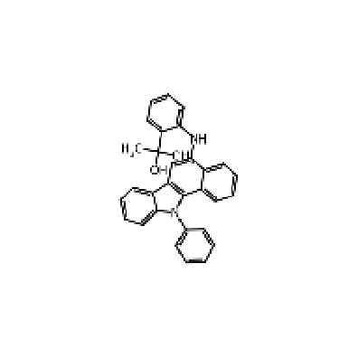 CC(C)(O)c1ccccc1Nc1cc2c3ccccc3n(-c3ccccc3)c2c2ccccc12